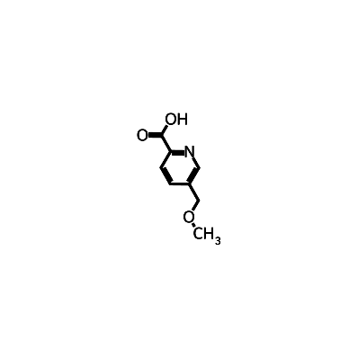 COCc1ccc(C(=O)O)nc1